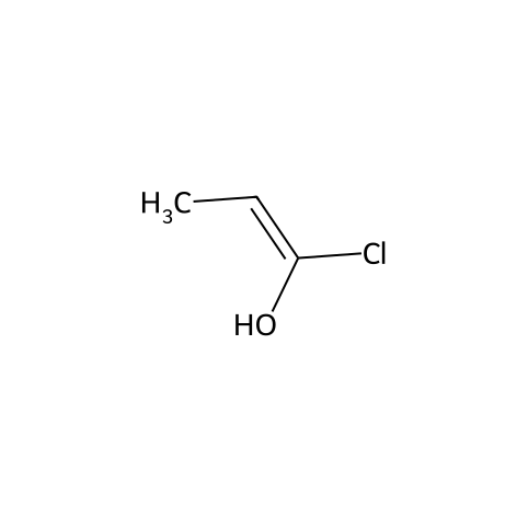 C/C=C(\O)Cl